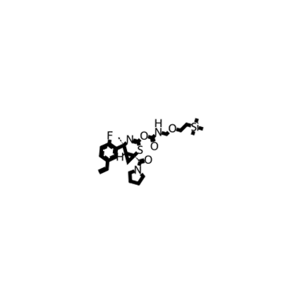 C=Cc1ccc(F)c([C@@]2(C)N=C(OC(=O)NCOCC[Si](C)(C)C)S[C@@]3(C(=O)N4CCCC4)C[C@H]32)c1